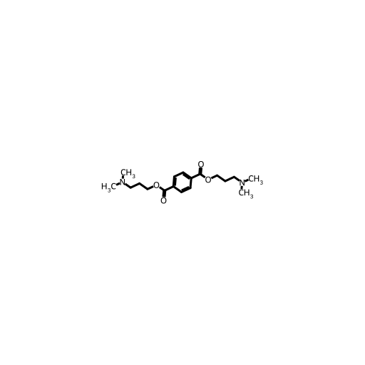 CN(C)CCCOC(=O)c1ccc(C(=O)OCCCN(C)C)cc1